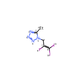 CCc1nnnn1CC(I)=C(I)I